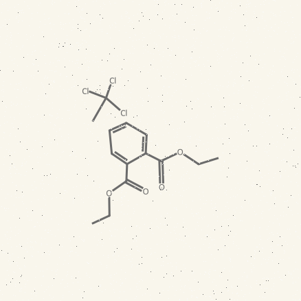 CC(Cl)(Cl)Cl.CCOC(=O)c1ccccc1C(=O)OCC